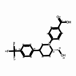 O=C(O)c1ccc(N2CC(c3ccc(C(F)(F)F)cc3)CC[C@H]2CO)cc1